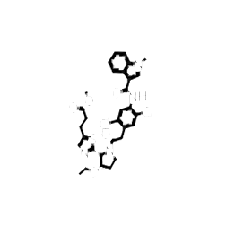 CCO[C@H]1CCN(C(=O)Cc2cc(Cl)c(NC(=O)c3cn(C)c4ccccc34)cc2Cl)[C@@H]1c1ncc(CCC(=O)OC)s1